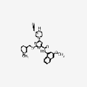 COc1cc(NC(=O)c2cc(N3CCN[C@@H](CC#N)C3)nc(OCC3CCCN(C)C3)n2)c2ccccc2c1